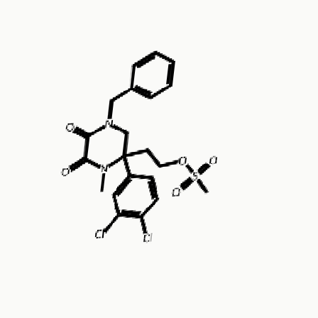 CN1C(=O)C(=O)N(Cc2ccccc2)CC1(CCOS(C)(=O)=O)c1ccc(Cl)c(Cl)c1